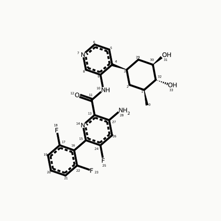 C[C@H]1C[C@@H](c2ccncc2NC(=O)c2nc(-c3c(F)cccc3F)c(F)cc2N)C[C@@H](O)[C@@H]1O